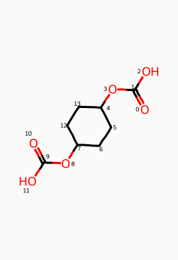 O=C(O)OC1CCC(OC(=O)O)CC1